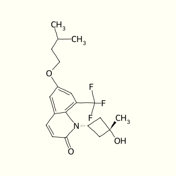 CC(C)CCOc1cc(C(F)(F)F)c2c(ccc(=O)n2[C@H]2C[C@@](C)(O)C2)c1